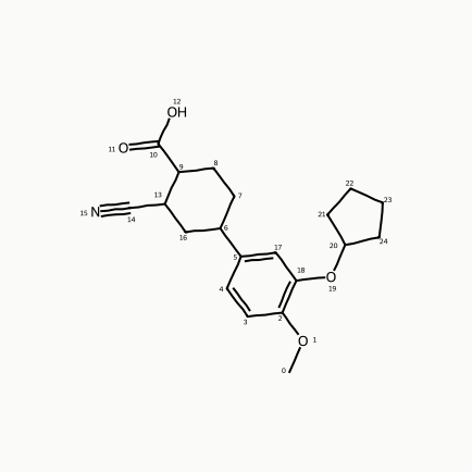 COc1ccc(C2CCC(C(=O)O)C(C#N)C2)cc1OC1CCCC1